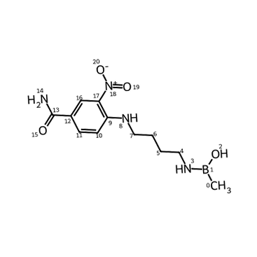 CB(O)NCCCCNc1ccc(C(N)=O)cc1[N+](=O)[O-]